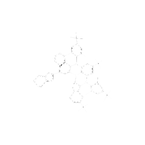 Cc1cc(C(C)(C)C)cc(C)c1N1c2cc(C(C)(C)C)cc3c2B(c2cc(-c4cc5ccccc5s4)ccc2N3c2c(C)cc(C(C)(C)C)cc2-c2ccccc2)c2oc3ccc(C(C)(C)C)cc3c21